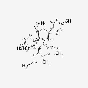 CCCCC(CC)Cc1c(CC(CC)CCCC)c(-c2ccc(S)cc2)c2nonc2c1-c1ccc(S)cc1